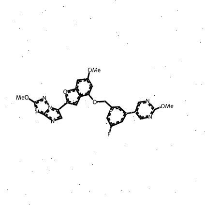 COc1cc(OCc2cc(F)cc(-c3cnc(OC)nc3)c2)c2cc(-c3cnc4sc(OC)nn34)oc2c1